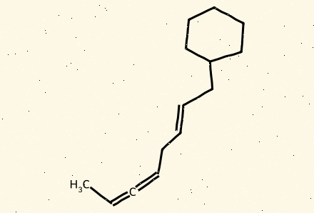 CC=C=CCC=CCC1CCCCC1